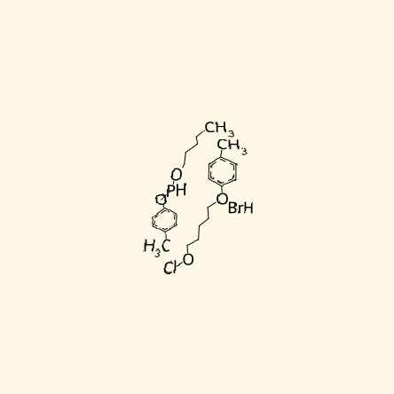 Br.CCCCCOPOc1ccc(C)cc1.Cc1ccc(OCCCCCOCl)cc1